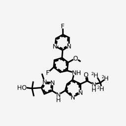 [2H]C([2H])([2H])NC(=O)c1nnc(Nc2cc(C(C)(C)O)n(C)n2)cc1Nc1cc(F)cc(-c2ncc(F)cn2)c1OC